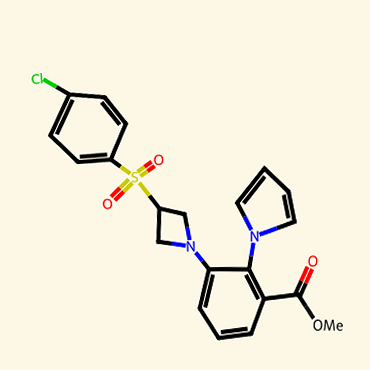 COC(=O)c1cccc(N2CC(S(=O)(=O)c3ccc(Cl)cc3)C2)c1-n1cccc1